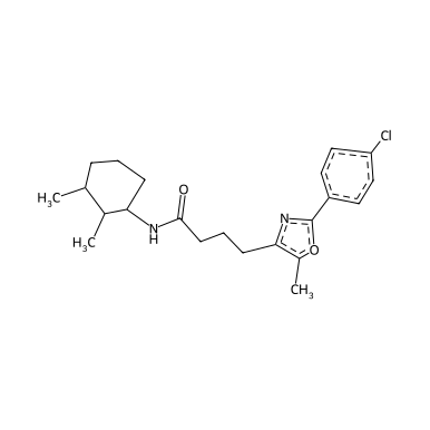 Cc1oc(-c2ccc(Cl)cc2)nc1CCCC(=O)NC1CCCC(C)C1C